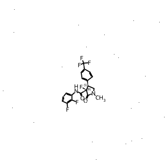 CN1C[C@H](c2ccc(C(F)(F)F)cc2)[C@@](F)(C(=O)Nc2cccc(F)c2F)C1=O